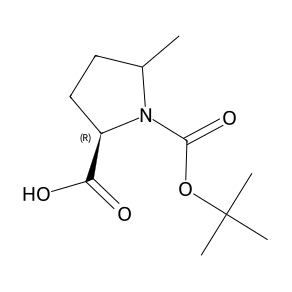 CC1CC[C@H](C(=O)O)N1C(=O)OC(C)(C)C